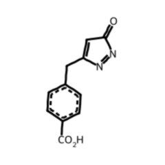 O=C1C=C(Cc2ccc(C(=O)O)cc2)N=N1